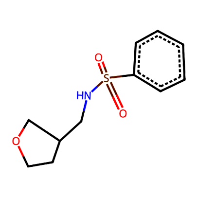 O=S(=O)(NCC1CCOC1)c1ccccc1